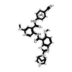 COc1cc(C(=O)NC23CCC(C#N)(CC2)CC3)c(NC(=O)c2c(OC)ccc3nc(N4C5COCC4C5)sc23)cn1